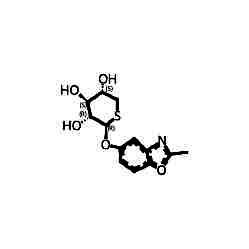 Cc1nc2cc(O[C@@H]3SC[C@@H](O)[C@H](O)[C@H]3O)ccc2o1